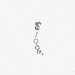 CCC[Si@H]1CC[C@H](CCCC[C@H]2CC[C@H](c3ccc(C(F)(F)F)cc3)CC2)CC1